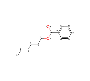 CCCCCCOC([O])c1ccccc1